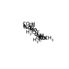 Cc1c(-c2nc3cc(CN4CCC(C(=O)O)C4)cc(C#N)c3o2)cccc1-c1cccc(NC(=O)c2nc3c(n2C)CCN(C)C3)c1F